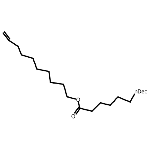 C=CCCCCCCCCOC(=O)CCCCCCCCCCCCCCC